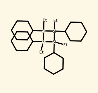 CC[Si]1(C2CCCCC2)[Si](CC)(C2CCCCC2)[Si](CC)(C2CCCCC2)[Si]1(CC)C1CCCCC1